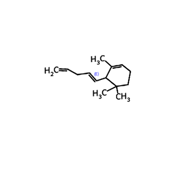 C=CC/C=C/C1C(C)=CCCC1(C)C